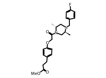 COC(=O)CCc1ccc(OCC(=O)N2C[C@H](C)N(Cc3ccc(F)cc3)C[C@H]2C)cc1